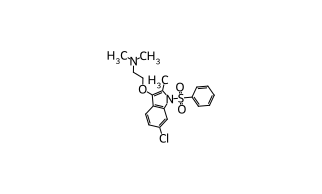 Cc1c(OCCN(C)C)c2ccc(Cl)cc2n1S(=O)(=O)c1ccccc1